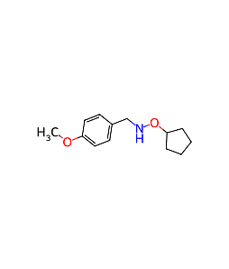 COc1ccc(CNOC2CCCC2)cc1